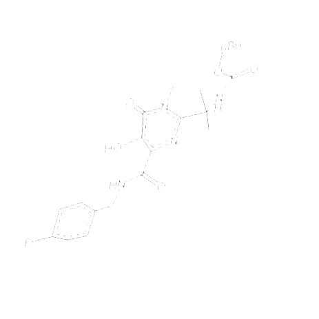 CCCCOC(=O)NC(C)(C)c1nc(C(=O)NCc2ccc(F)cc2)c(O)c(=O)n1C